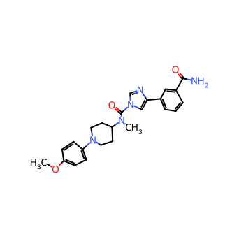 COc1ccc(N2CCC(N(C)C(=O)n3cnc(-c4cccc(C(N)=O)c4)c3)CC2)cc1